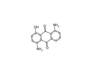 Nc1cccc2c1C(=O)c1c(O)ccc(N)c1C2=O